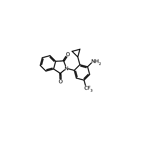 Nc1cc(C(F)(F)F)cc(N2C(=O)c3ccccc3C2=O)c1C1CC1